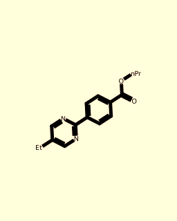 CCCOC(=O)c1ccc(-c2ncc(CC)cn2)cc1